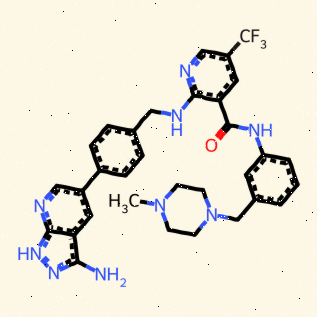 CN1CCN(Cc2cccc(NC(=O)c3cc(C(F)(F)F)cnc3NCc3ccc(-c4cnc5[nH]nc(N)c5c4)cc3)c2)CC1